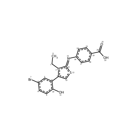 CCn1c(-c2cc(Br)ccc2O)cs/c1=N\c1ccc(C(=O)O)cc1